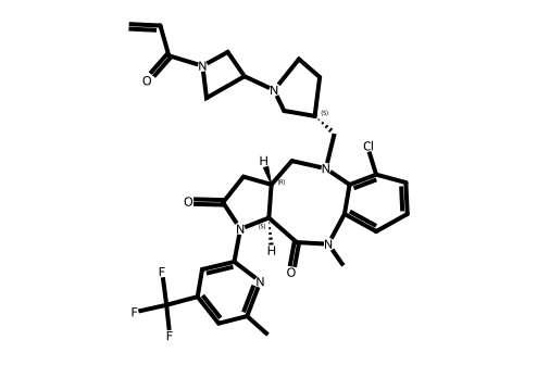 C=CC(=O)N1CC(N2CC[C@H](CN3C[C@H]4CC(=O)N(c5cc(C(F)(F)F)cc(C)n5)[C@@H]4C(=O)N(C)c4cccc(Cl)c43)C2)C1